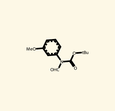 COc1cccc(N(C=O)C(=O)OC(C)(C)C)c1